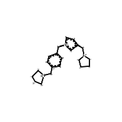 c1cc(Cn2ccc(CN3CCCC3)c2)ccc1CN1CCCC1